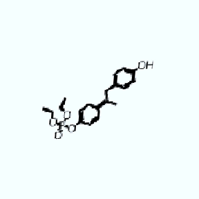 CCOP(=O)(OCC)OC1=CCC(=C(C)Cc2ccc(O)cc2)C=C1